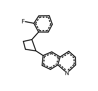 Fc1ccccc1C1CCC1c1ccc2ncccc2c1